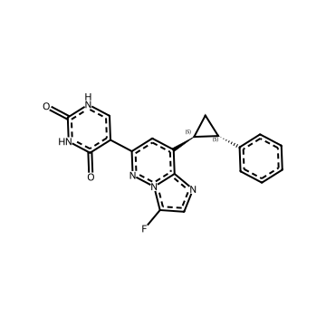 O=c1[nH]cc(-c2cc([C@H]3C[C@@H]3c3ccccc3)c3ncc(F)n3n2)c(=O)[nH]1